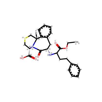 CCOC(=O)C(CCc1ccccc1)N[C@H]1Cc2ccccc2[C@H]2CSC[C@@H](C(=O)O)N2C1=O